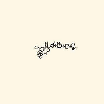 Cc1cc(C(=O)Nc2cc(Cl)cc(NS(C)(=O)=O)c2)cn1-c1ccc(N2CCN(C(=O)C(C)C)CC2)cn1